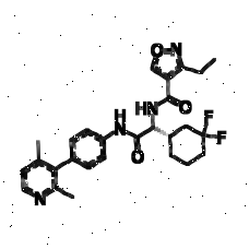 CCc1nocc1C(=O)NC(C(=O)Nc1ccc(-c2c(C)ccnc2C)cc1)[C@H]1CCCC(F)(F)C1